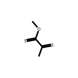 COC(=S)C(C)=S